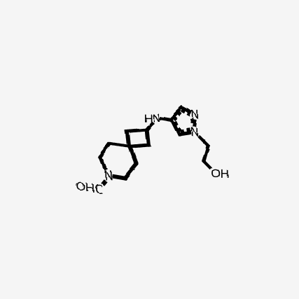 O=CN1CCC2(CC1)CC(Nc1cnn(CCO)c1)C2